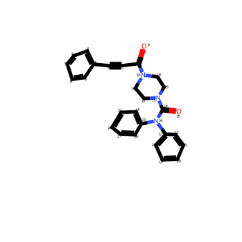 O=C(C#Cc1ccccc1)N1CCN(C(=O)N(c2ccccc2)c2ccccc2)CC1